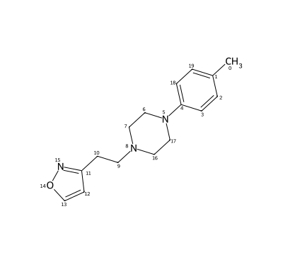 Cc1ccc(N2CCN(CCc3ccon3)CC2)cc1